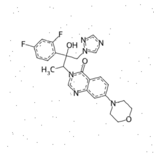 CC(n1cnc2cc(N3CCOCC3)ccc2c1=O)C(O)(Cn1cncn1)c1ccc(F)cc1F